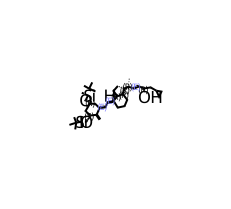 C=C1/C(=C/C=C2\CCC[C@]3(C)[C@@H]([C@H](C)/C=C/[C@H](O)CC4CC4)CC[C@@H]23)C[C@@H](O[Si](C)(C)C(C)(C)C)C[C@@H]1O[Si](C)(C)C(C)(C)C